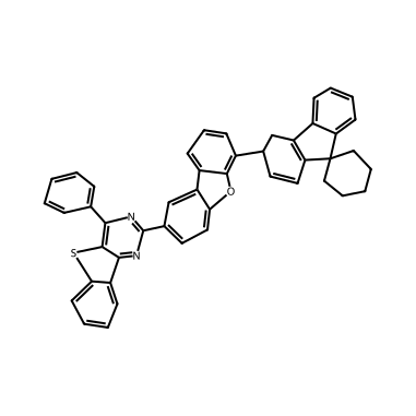 C1=CC(c2cccc3c2oc2ccc(-c4nc(-c5ccccc5)c5sc6ccccc6c5n4)cc23)CC2=C1C1(CCCCC1)c1ccccc12